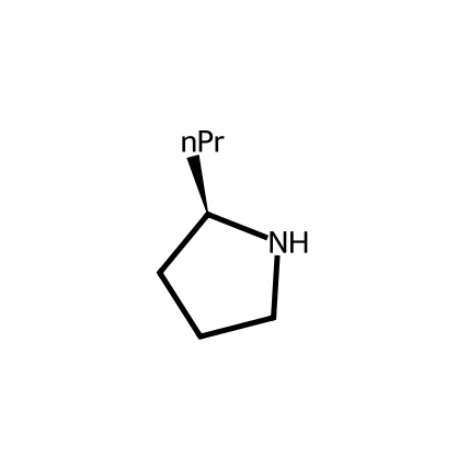 CCC[C@@H]1CCCN1